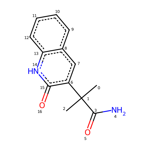 CC(C)(C(N)=O)c1cc2ccccc2[nH]c1=O